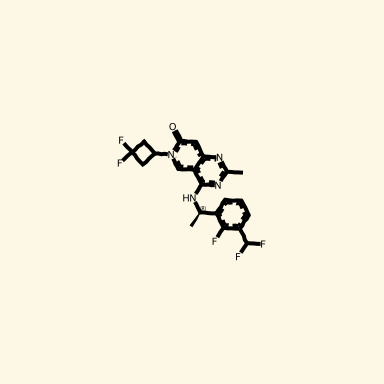 Cc1nc(N[C@H](C)c2cccc(C(F)F)c2F)c2cn(C3CC(F)(F)C3)c(=O)cc2n1